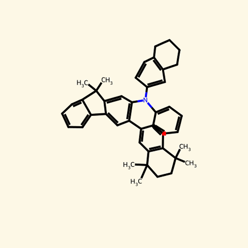 CC1(C)CCC(C)(C)c2cc(-c3cc4c(cc3N(c3ccccc3)c3ccc5c(c3)CCCC5)C(C)(C)c3ccccc3-4)ccc21